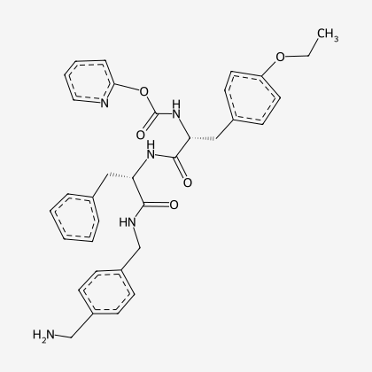 CCOc1ccc(C[C@@H](NC(=O)Oc2ccccn2)C(=O)N[C@@H](Cc2ccccc2)C(=O)NCc2ccc(CN)cc2)cc1